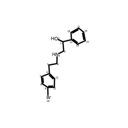 OC(CNCCc1ccc(Br)cc1)c1ccccc1